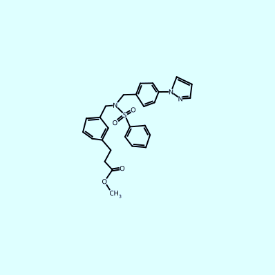 COC(=O)CCc1cccc(CN(Cc2ccc(-n3cccn3)cc2)S(=O)(=O)c2ccccc2)c1